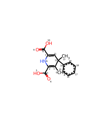 CC1=C(C(=O)O)NC(C(=O)O)=CC1(C)c1ccccc1